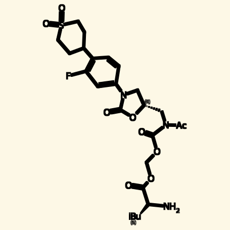 CC[C@H](C)C(N)C(=O)OCOC(=O)N(C[C@H]1CN(c2ccc(C3CCS(=O)(=O)CC3)c(F)c2)C(=O)O1)C(C)=O